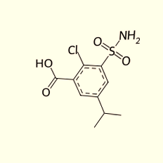 CC(C)c1cc(C(=O)O)c(Cl)c(S(N)(=O)=O)c1